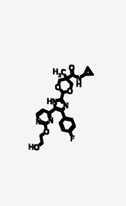 CC1(C(=O)NC2CC2)COC(c2nc(-c3ccc(F)cc3)c(-c3ccnc(OCCO)n3)[nH]2)OC1